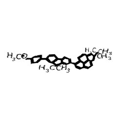 COCc1ccc(-c2ccc3c(c2)C(C)(C)c2cc(-c4ccc5ccc6cc(C(C)(C)C)cc7ccc4c5c67)ccc2-3)cc1